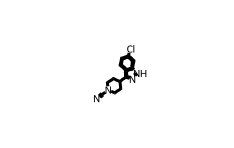 N#CN1CCC(c2n[nH]c3cc(Cl)ccc23)CC1